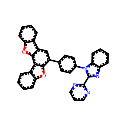 c1cnc(-c2nc3ccccc3n2-c2ccc(-c3cc4c5ccccc5oc4c4c3oc3ccccc34)cc2)nc1